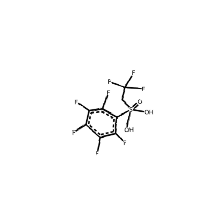 O=S(O)(O)(CC(F)(F)F)c1c(F)c(F)c(F)c(F)c1F